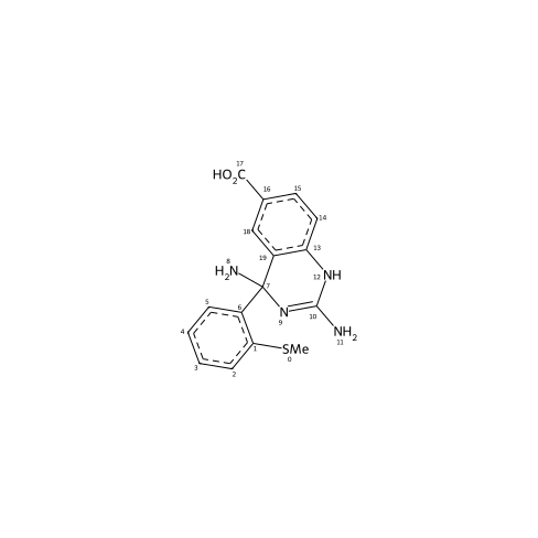 CSc1ccccc1C1(N)N=C(N)Nc2ccc(C(=O)O)cc21